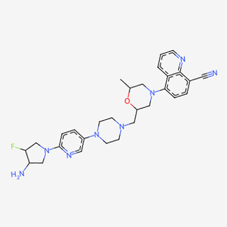 CC1CN(c2ccc(C#N)c3ncccc23)CC(CN2CCN(c3ccc(N4CC(N)C(F)C4)nc3)CC2)O1